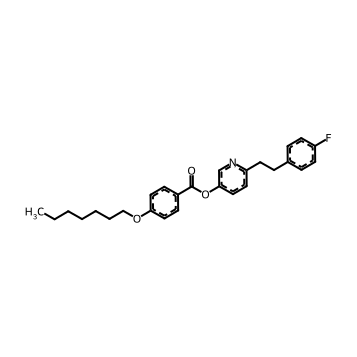 CCCCCCCOc1ccc(C(=O)Oc2ccc(CCc3ccc(F)cc3)nc2)cc1